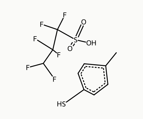 Cc1ccc(S)cc1.O=S(=O)(O)C(F)(F)C(F)(F)C(F)F